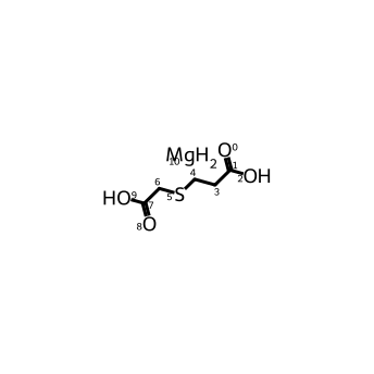 O=C(O)CCSCC(=O)O.[MgH2]